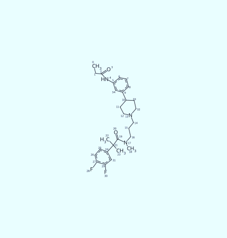 CCC(=O)Nc1cccc(C2CCN(CCCN(C)C(=O)C(C)(C)c3ccc(F)c(F)c3)CC2)c1